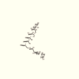 C=CC.C=CC.C=CC.C=CC.C=CC.C=CC.F.F.F.F.F.F